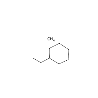 C.CCC1CCCCC1